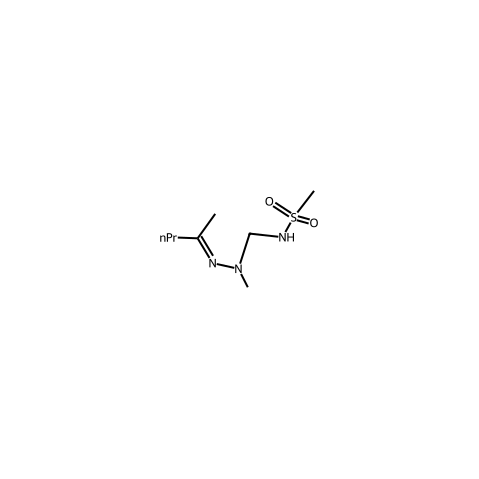 CCC/C(C)=N/N(C)CNS(C)(=O)=O